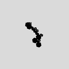 COc1cc(OC(c2ccccc2)c2ccccc2)ccc1C=CC(=O)CC(=O)C=Cc1ccc2cc[nH]c2c1